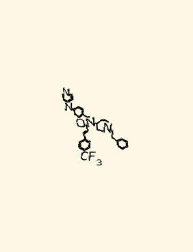 CN(c1ccncc1)c1ccc(CN(C(=O)/C=C/c2ccc(C(F)(F)F)cc2)C2CCN(CCc3ccccc3)CC2)cc1